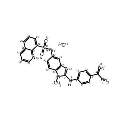 Cl.Cn1c(Nc2ccc(C(=N)N)cc2)nc2cc(NS(=O)(=O)c3cccc4cccnc34)ccc21